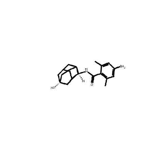 Bc1cc(C)c(C(=O)N[C@H]2C3CC4CC2C[C@](O)(C4)C3)c(C)c1